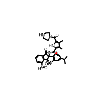 Cc1c(C(=O)NC23C(=O)c4cccc([N+](=O)[O-])c4C2(O)Oc2cc(C(C)C)ccc23)[nH]c(C(=O)N2CCNCC2)c1C